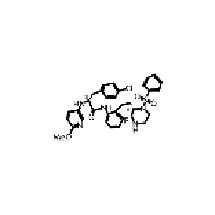 COc1ccc(N[C@@H](Cc2ccc(Cl)cc2)C(=O)Nc2cccc(F)c2CC[C@H]2CNCCN2S(=O)(=O)c2ccccc2)cn1